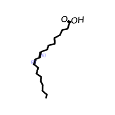 CCCCCCCC/C=C\C=C\CCCCCCCC(=O)O